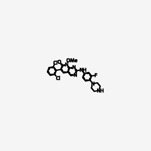 COn1c(=O)c(-c2c(Cl)cccc2Cl)cc2cnc(Nc3ccc(N4CCNCC4)c(F)c3)nc21